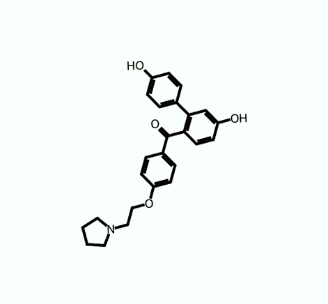 O=C(c1ccc(OCCN2CCCC2)cc1)c1ccc(O)cc1-c1ccc(O)cc1